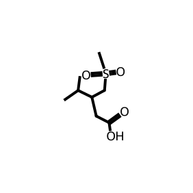 CC(C)C(CC(=O)O)CS(C)(=O)=O